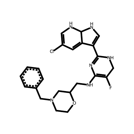 FC1=C(NCC2CN(Cc3ccccc3)CCO2)N=C(C2=CNC3NC=C(Cl)C=C23)NC1